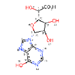 O=C(O)C(O)[C@H]1O[C@@H](n2cnc3c(O)ncnc32)C(O)C1O